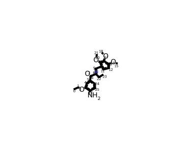 CCOc1cc(C(=O)/C(=C/c2ccc(OC)c(OC)c2OC)CC)ccc1N